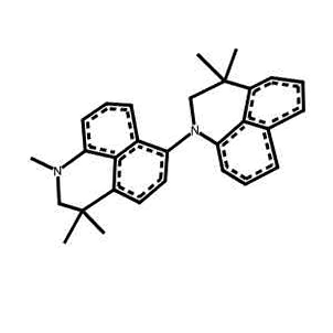 CN1CC(C)(C)c2ccc(N3CC(C)(C)c4cccc5cccc3c45)c3cccc1c23